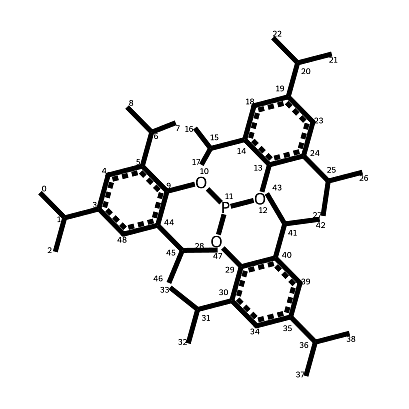 CC(C)c1cc(C(C)C)c(OP(Oc2c(C(C)C)cc(C(C)C)cc2C(C)C)Oc2c(C(C)C)cc(C(C)C)cc2C(C)C)c(C(C)C)c1